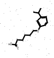 CC(C)c1cccc(OCCCCCC(=O)O)c1